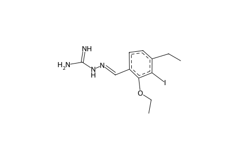 CCOc1c(C=NNC(=N)N)ccc(CC)c1I